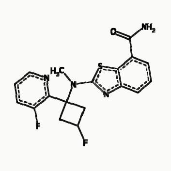 CN(c1nc2cccc(C(N)=O)c2s1)C1(c2ncccc2F)CC(F)C1